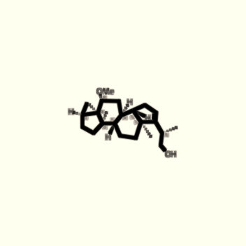 CO[C@@H]1C[C@H]2[C@@H]3CC=C([C@H](C)CO)[C@@]3(C)CC[C@@H]2[C@@]2(C)CC[C@H]3C[C@]312